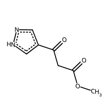 COC(=O)CC(=O)c1cn[nH]c1